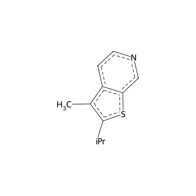 Cc1c(C(C)C)sc2cnccc12